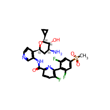 CS(=O)(=O)c1cc(F)c(-c2nc(C(=O)Nc3cnccc3[C@@H]3C[C@H](N)[C@@H](O)[C@H](C4CC4)O3)ccc2F)c(F)c1